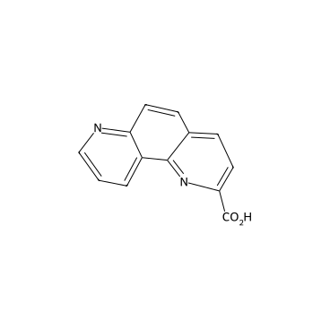 O=C(O)c1ccc2ccc3ncccc3c2n1